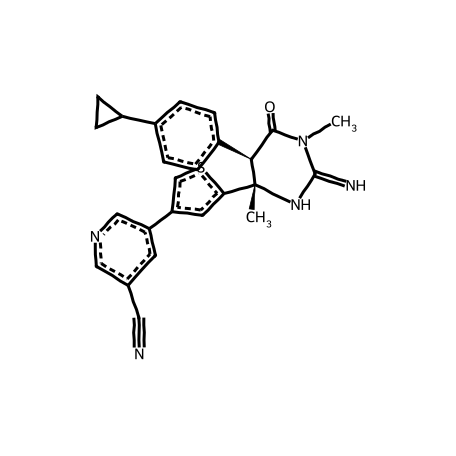 CN1C(=N)N[C@](C)(c2cc(-c3cncc(C#N)c3)cs2)[C@@H](c2ccc(C3CC3)cc2)C1=O